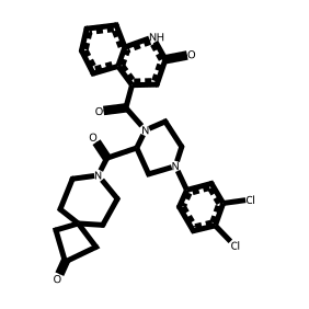 O=C1CC2(CCN(C(=O)C3CN(c4ccc(Cl)c(Cl)c4)CCN3C(=O)c3cc(=O)[nH]c4ccccc34)CC2)C1